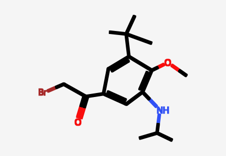 COc1c(NC(C)C)cc(C(=O)CBr)cc1C(C)(C)C